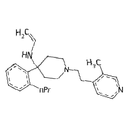 C=CNC1(c2ccccc2CCC)CCN(CCc2ccncc2C)CC1